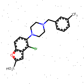 O=C(O)c1cc2c(Br)c(N3CCN(Cc4cccc(C(F)(F)F)c4)CC3)ccc2o1